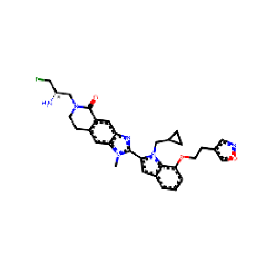 Cn1c(-c2cc3cccc(OCCc4cnoc4)c3n2CC2CC2)nc2cc3c(cc21)CCN(C[C@H](N)CF)C3=O